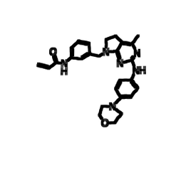 C=CC(=O)Nc1cccc(CN2CCc3c(C)nc(Nc4ccc(N5CCOCC5)cc4)nc32)c1